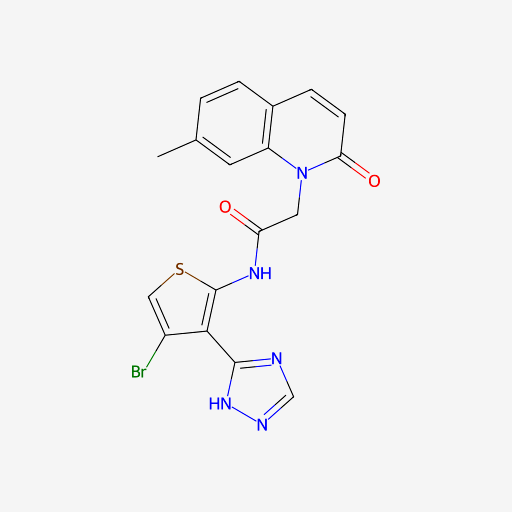 Cc1ccc2ccc(=O)n(CC(=O)Nc3scc(Br)c3-c3ncn[nH]3)c2c1